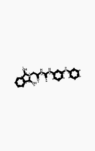 O=C(CN1C(O)c2ccccc2C1O)NC(=S)Nc1cccc(Oc2ccccc2)c1